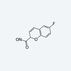 O=NC(=O)C1C=Cc2cc(F)ccc2O1